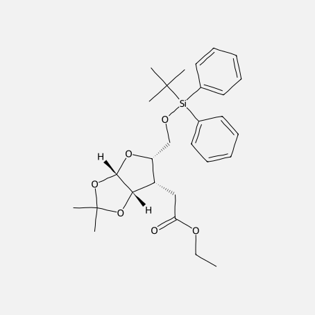 CCOC(=O)C[C@@H]1[C@@H]2OC(C)(C)O[C@@H]2O[C@@H]1CO[Si](c1ccccc1)(c1ccccc1)C(C)(C)C